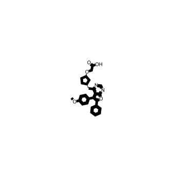 COc1ccc(-c2c(-c3ccccc3)oc3ncnc(C[C@@H]4CC[C@H](OCC(=O)O)C4)c23)cc1